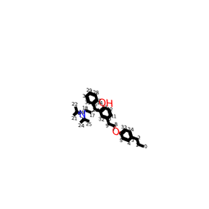 CCCc1ccc(OCCc2ccc(O)c([C@H](CCN(C(C)C)C(C)C)c3ccccc3)c2)cc1